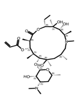 C=CC(=O)O[C@H]1[C@H](C)[C@@H](O[C@@H]2O[C@H](C)C[C@H](N(C)C)[C@@H]2O)[C@](C)(O)C[C@@H](C)CN(C)[C@H](C)[C@@H](O)[C@](C)(O)[C@@H](CC)OC(=O)[C@@H]1C